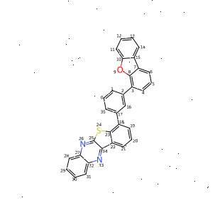 c1cc(-c2cccc3c2oc2ccccc23)cc(-c2cccc3c2sc2nc4ccccc4nc23)c1